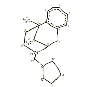 CC1C2Cc3ccccc3C1(C)CCN2CC1CCCC1